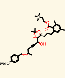 COc1ccc(COC(C)CC#CC(O)C2OC(C)(C)O[C@H]2CCCc2cc(C)cc(C)c2C(=O)OCC[Si](C)(C)C)cc1